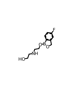 OCCNCCOB1OCc2cc(F)ccc21